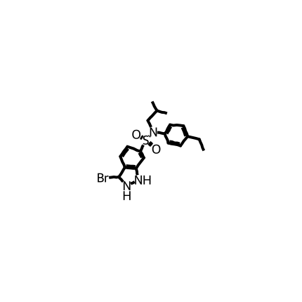 CCc1ccc(N(CC(C)C)S(=O)(=O)c2ccc3c(c2)NNC3Br)cc1